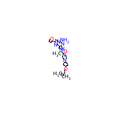 CC(C(=O)N1CCN(c2ccc(OCCN(C)C)cc2)CC1)n1cc2c(nc(N)n3nc(-c4ccco4)nc23)n1